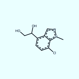 Cn1ncc2c(C(O)CO)ccc(Cl)c21